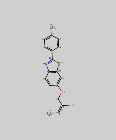 C/C=C(/F)COc1ccc2nc(-c3ccc(C)cc3)sc2c1